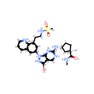 CNC(=O)[C@]1(C)CC[C@@H](Nc2ncc3c(Br)nn(-c4cc(CCNS(C)(=O)=O)c5ncccc5c4)c3n2)C1